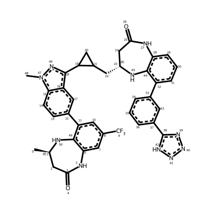 C[C@@H]1CC(=O)Nc2cc(C(F)(F)F)cc(-c3ccc4c(c3)c(C3CC3C[C@@H]3CC(=O)Nc5cccc(-c6cccc(-c7nnn[nH]7)c6)c5N3)nn4C)c2N1